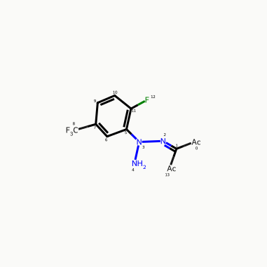 CC(=O)C(=NN(N)c1cc(C(F)(F)F)ccc1F)C(C)=O